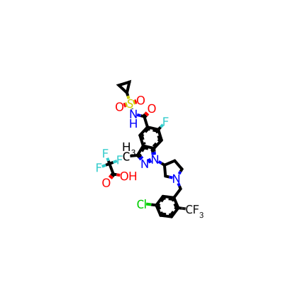 Cc1nn(C2CCN(Cc3cc(Cl)ccc3C(F)(F)F)C2)c2cc(F)c(C(=O)NS(=O)(=O)C3CC3)cc12.O=C(O)C(F)(F)F